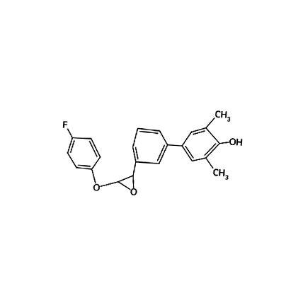 Cc1cc(-c2cccc(C3OC3Oc3ccc(F)cc3)c2)cc(C)c1O